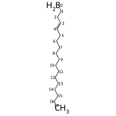 BCC/C=C/CCCCCCCCCCCCC